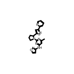 Cc1cc(Nc2ccon2)nc(N2CCCC2c2cc(-c3ccccn3)no2)n1